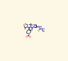 CCNC(=O)Nc1cnn(-c2nc3c(c(N4CCOC[C@@H]4C)[n+]2C(C)(C)C)CCN(C(=O)[O-])C3)c1